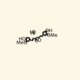 COc1cc(/C=C/C(=O)CC(=O)/C=C/c2ccc(O)c(OC)c2)ccc1O.F.F